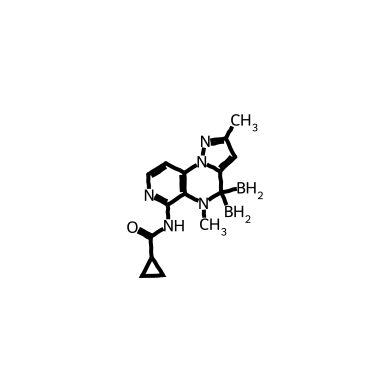 BC1(B)c2cc(C)nn2-c2ccnc(NC(=O)C3CC3)c2N1C